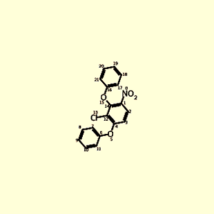 O=[N+]([O-])c1ccc(Oc2ccccc2)c(Cl)c1Oc1ccccc1